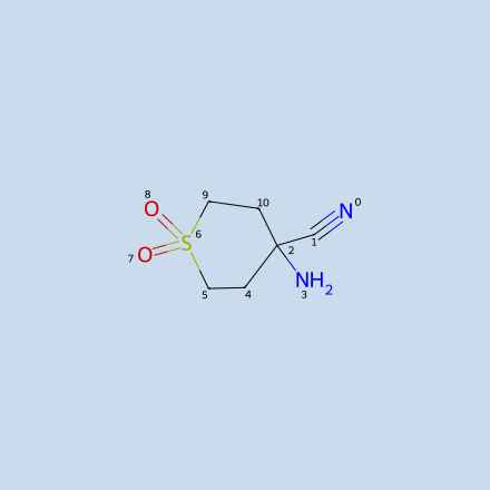 N#CC1(N)CCS(=O)(=O)CC1